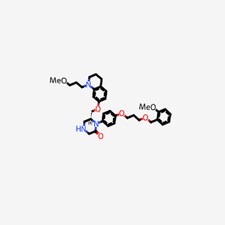 COCCCN1CCCc2ccc(OC[C@H]3CNCC(=O)N3c3ccc(OCCCOCc4ccccc4OC)cc3)cc21